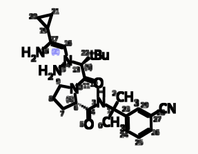 CC(C)(NC(=O)[C@@H]1CCCN1C(=O)[C@@H](N(N)/C=C(\N)C1CC1)C(C)(C)C)c1cccc(C#N)c1